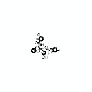 Cc1c(O)cccc1C(=O)N[C@@H](Cc1ccccc1)[C@H](O)C(=O)N1C[C@H](O)C[C@H]1C(=O)NCc1ccc(F)cc1F